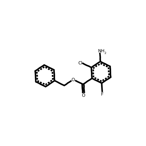 Nc1ccc(F)c(C(=O)OCc2ccccc2)c1Cl